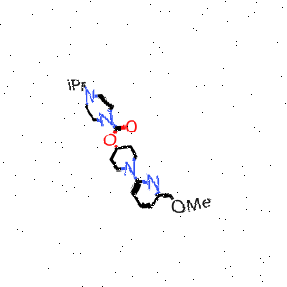 COCc1cccc(N2CCC(OC(=O)N3CCN(C(C)C)CC3)CC2)n1